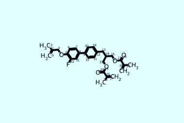 C=C(C)COc1ccc(-c2ccc(CC(COC(=O)C(=C)C)COC(=O)C(=C)C)cc2)cc1F